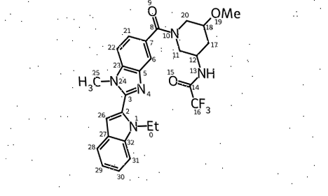 CCn1c(-c2nc3cc(C(=O)N4CC(NC(=O)C(F)(F)F)CC(OC)C4)ccc3n2C)cc2ccccc21